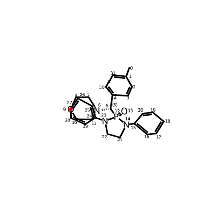 Cc1ccc([C@@H](N2CCOCC2)P2(=O)N(c3ccccc3)CCN2c2ccccc2)cc1